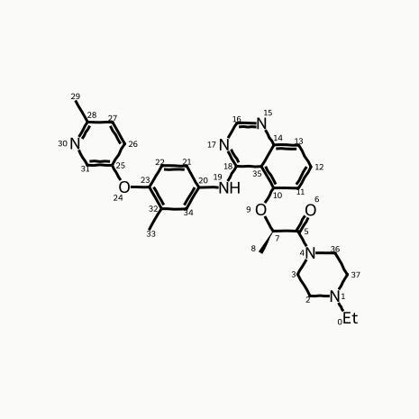 CCN1CCN(C(=O)[C@@H](C)Oc2cccc3ncnc(Nc4ccc(Oc5ccc(C)nc5)c(C)c4)c23)CC1